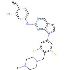 CCN1CCN(Cc2c(F)cc(-n3ccc4cnc(Nc5ccc(C)c(Cl)c5)nc43)cc2F)CC1